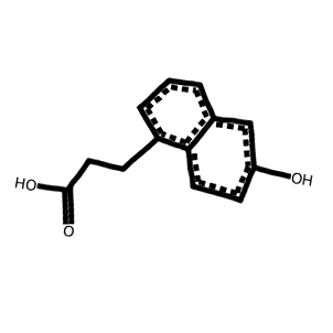 O=C(O)CCc1cccc2cc(O)ccc12